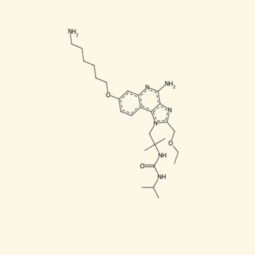 CCOCc1nc2c(N)nc3cc(OCCCCCCN)ccc3c2n1CC(C)(C)NC(=O)NC(C)C